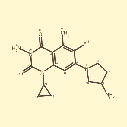 Cc1c(F)c(N2CCC(N)C2)cc2c1c(=O)n(N)c(=O)n2C1CC1